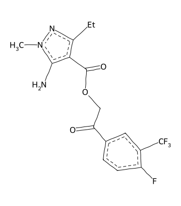 CCc1nn(C)c(N)c1C(=O)OCC(=O)c1ccc(F)c(C(F)(F)F)c1